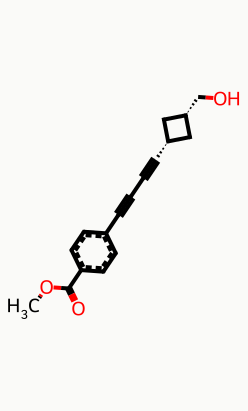 COC(=O)c1ccc(C#CC#C[C@H]2C[C@@H](CO)C2)cc1